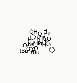 CC(C)[C@H](c1ccc(O)cc1NC(=O)[C@@H](C)NC(=O)OCc1ccccc1)[C@@H](NC(=O)OC(C)(C)C)C(=O)OC(C)(C)C